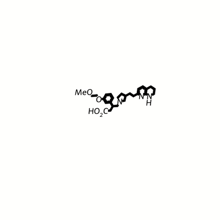 COCCOc1cccc(C(CC(=O)O)CN2CCC(CCc3ccc4c(n3)NCCC4)C2)c1